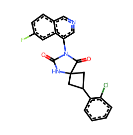 O=C1NC2(CC(c3ccccc3Cl)C2)C(=O)N1c1cncc2ccc(F)cc12